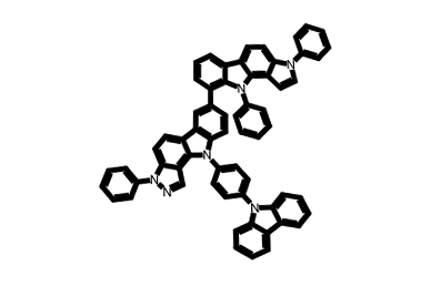 c1ccc(-n2ccc3c2ccc2c4cccc(-c5ccc6c(c5)c5ccc7c(cnn7-c7ccccc7)c5n6-c5ccc(-n6c7ccccc7c7ccccc76)cc5)c4n(-c4ccccc4)c23)cc1